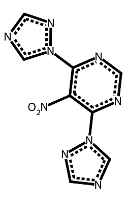 O=[N+]([O-])c1c(-n2cncn2)ncnc1-n1cncn1